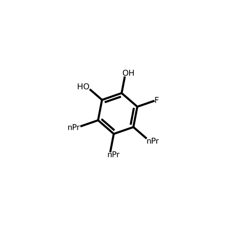 CCCc1c(O)c(O)c(F)c(CCC)c1CCC